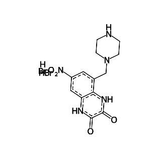 Br.Br.O=c1[nH]c2cc([N+](=O)[O-])cc(CN3CCNCC3)c2[nH]c1=O